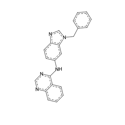 c1ccc(Cn2cnc3ccc(Nc4ncnc5ccccc45)cc32)cc1